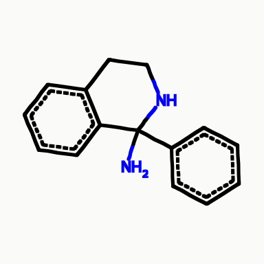 NC1(c2ccccc2)NCCc2ccccc21